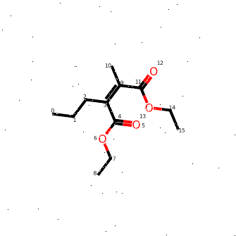 CCC/C(C(=O)OCC)=C(\C)C(=O)OCC